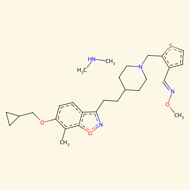 CNC.CON=Cc1ccsc1CN1CCC(CCc2noc3c(C)c(OCC4CC4)ccc23)CC1